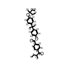 CCC(C)C(=O)c1ccc(C(=O)Oc2ccc(C(C)(C)c3ccc(OC(C)(CC)CC)cc3)cc2)cc1